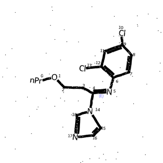 CCCOCC/C(=N\c1ccc(Cl)cc1Cl)n1ccnc1